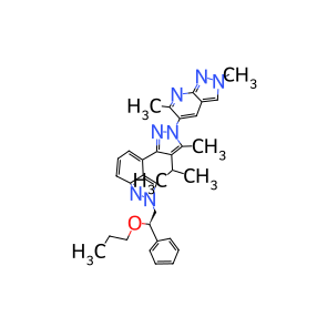 CCCO[C@@H](Cn1cc2c(-c3nn(-c4cc5cn(C)nc5nc4C)c(C)c3C(C)C)cccc2n1)c1ccccc1